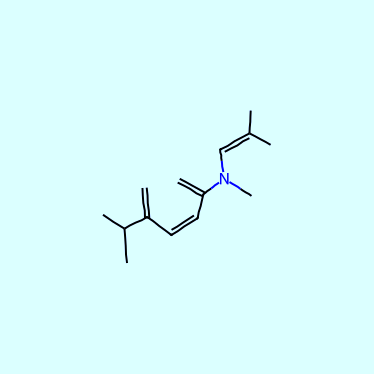 C=C(/C=C\C(=C)N(C)C=C(C)C)C(C)C